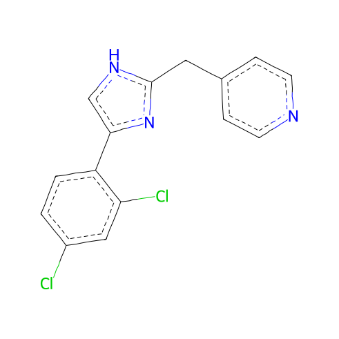 Clc1ccc(-c2c[nH]c(Cc3ccncc3)n2)c(Cl)c1